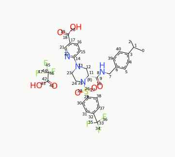 CC(C)c1ccc(CNC(=O)[C@H]2CN(c3ccc(C(=O)O)cn3)CCN2S(=O)(=O)c2ccc(C(F)(F)F)cc2)cc1.O=C(O)C(F)(F)F